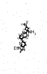 CCn1c(C)nc2ccc(-c3ccn4nc(C5(N)CC(N(C)C)C5)ncc34)nc21